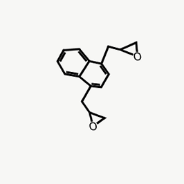 c1ccc2c(CC3CO3)ccc(CC3CO3)c2c1